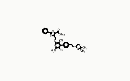 COC(=O)c1oc(-c2ccccc2)nc1CSc1nc(N)c(C#N)c(-c2ccc(CC[C@H]3COC(C)(C)O3)cc2)c1C#N